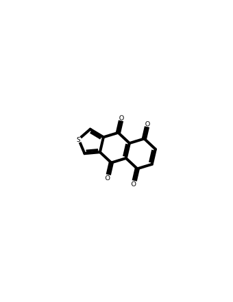 O=c1ccc(=O)c2c(=O)c3cscc3c(=O)c1=2